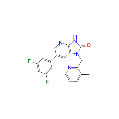 Cc1cccnc1Cn1c(=O)[nH]c2ncc(-c3cc(F)cc(F)c3)cc21